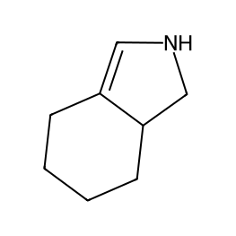 C1=C2CCCCC2CN1